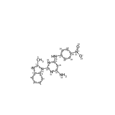 Cc1nc2ccccc2n1-c1nc(N)cc(Nc2ccc([N+](=O)[O-])cc2)n1